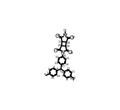 Cc1ccc(C(c2ccc(F)cc2)c2ccc(N3C(=O)C4C5C(=O)N(C)C(=O)C5C4C3=O)cc2)cc1